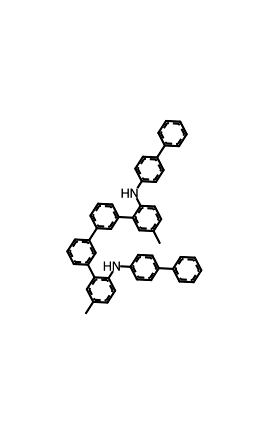 Cc1ccc(Nc2ccc(-c3ccccc3)cc2)c(-c2cccc(-c3cccc(-c4cc(C)ccc4Nc4ccc(-c5ccccc5)cc4)c3)c2)c1